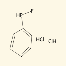 Cl.Cl.FPc1ccccc1